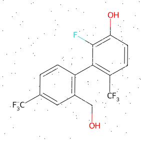 OCc1cc(C(F)(F)F)ccc1-c1c(C(F)(F)F)ccc(O)c1F